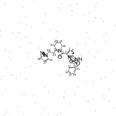 O=C(c1csc(NS(=O)(=O)c2ccccc2)n1)N1CCCCC1CCn1cccn1